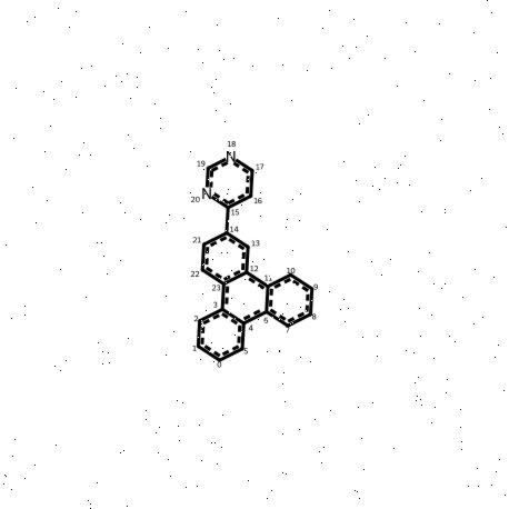 c1ccc2c(c1)c1ccccc1c1cc(-c3ccncn3)ccc21